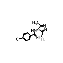 Cc1nnc(C)n1NC(=N)c1ccc(Cl)cc1